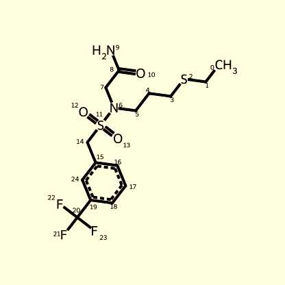 CCSCCCN(CC(N)=O)S(=O)(=O)Cc1cccc(C(F)(F)F)c1